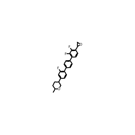 CC1CCC(c2ccc(-c3ccc(-c4ccc(C5CO5)c(F)c4F)cc3)c(F)c2)CO1